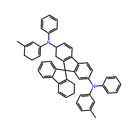 CC1=CC(N(c2ccccc2)C2C=CC3=C(C2)C2(C4=C(C=CCC4)c4ccccc42)c2cc(N(c4ccccc4)c4cccc(C)c4)ccc23)=CCC1